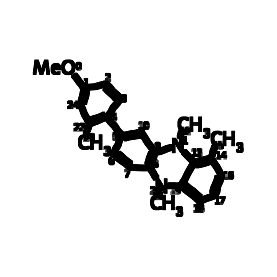 COc1ccc(-c2ccc3c(c2)N(C)c2c(C)cccc2N3C)c(C)c1